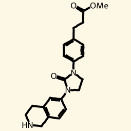 COC(=O)CCc1ccc(N2CCN(c3ccc4c(c3)CCNC4)C2=O)cc1